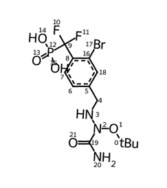 CC(C)(C)ON(NCc1ccc(C(F)(F)P(=O)(O)O)c(Br)c1)C(N)=O